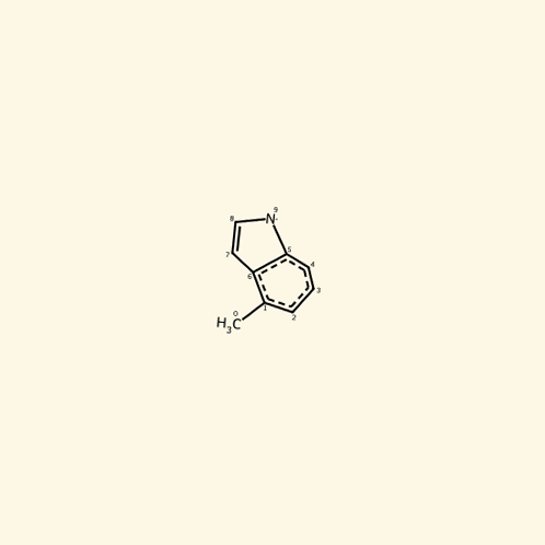 Cc1cccc2c1C=C[N]2